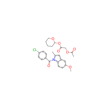 CC(=O)OCC(=O)OC1CCCCO1.COc1ccc2c(c1)cc(C)n2C(=O)c1ccc(Cl)cc1